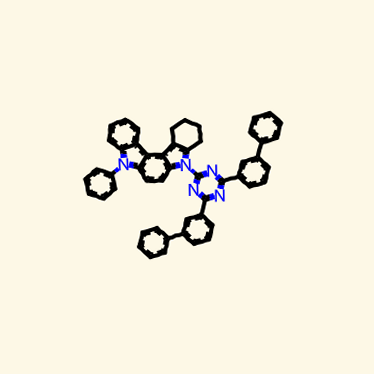 c1ccc(-c2cccc(-c3nc(-c4cccc(-c5ccccc5)c4)nc(-n4c5c(c6c7c8ccccc8n(-c8ccccc8)c7ccc64)CCCC5)n3)c2)cc1